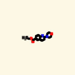 CCOC(=O)c1ccc2nc(N3CCOCC3)ccc2c1